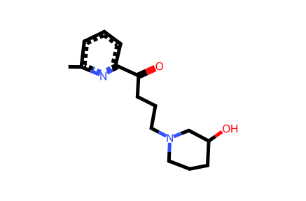 Cc1cccc(C(=O)CCCN2CCCC(O)C2)n1